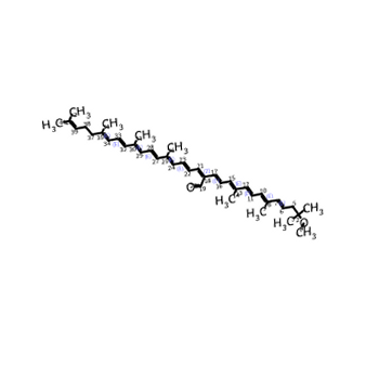 COC(C)(C)C/C=C/C(C)=C/C=C/C(C)=C/C=C/C(C=O)=C/C=C/C=C(C)/C=C/C=C(C)/C=C/C=C(\C)CCC=C(C)C